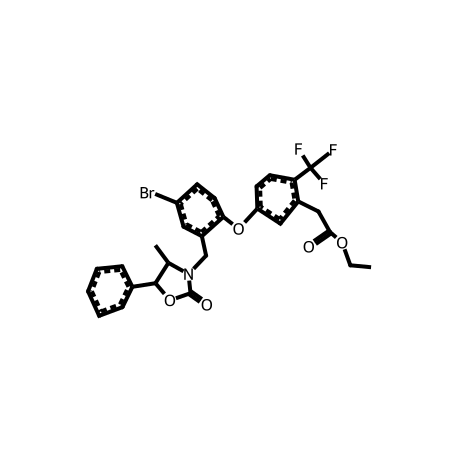 CCOC(=O)Cc1cc(Oc2ccc(Br)cc2CN2C(=O)OC(c3ccccc3)C2C)ccc1C(F)(F)F